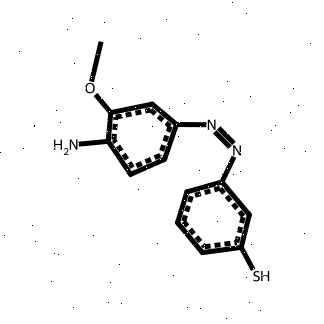 COc1cc(/N=N\c2cccc(S)c2)ccc1N